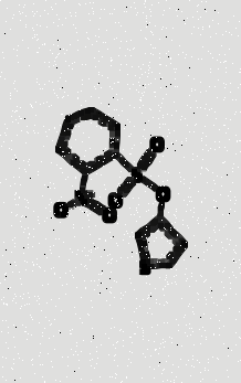 O=[N+]([O-])c1ccccc1S(=O)(=O)Oc1ccsc1